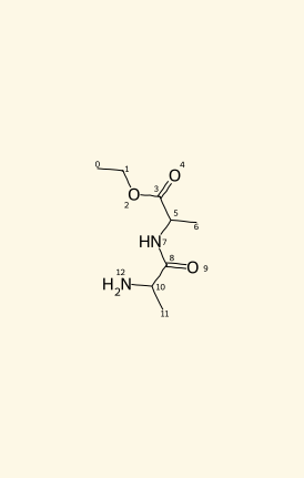 CCOC(=O)C(C)NC(=O)C(C)N